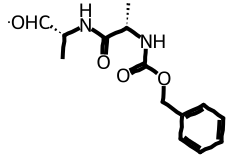 C[C@H]([C]=O)NC(=O)[C@H](C)NC(=O)OCc1ccccc1